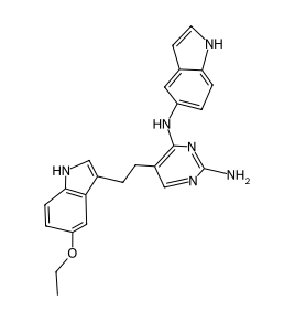 CCOc1ccc2[nH]cc(CCc3cnc(N)nc3Nc3ccc4[nH]ccc4c3)c2c1